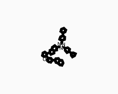 C1=CC(c2nc(-c3ccc(-c4ccccc4)cc3)nc(-c3ccc4cc(-c5cccc6oc7ccc(-c8ccc9ccccc9c8)cc7c56)ccc4c3)n2)CC=C1c1ccccc1